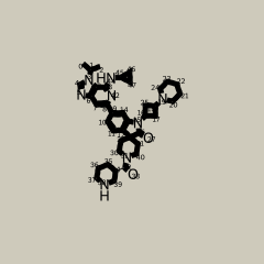 CC(C)n1cnc2cc(-c3ccc4c(c3)N(C3CC(N5CCCCC5)C3)C(=O)C43CCN(C(=O)[C@H]4CCCNC4)CC3)nc(NC3CC3)c21